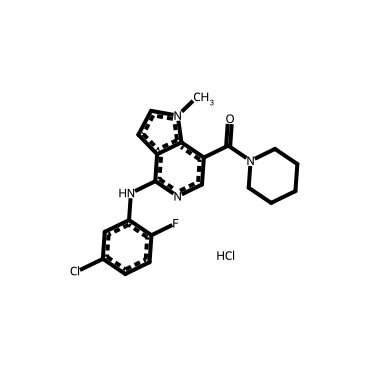 Cl.Cn1ccc2c(Nc3cc(Cl)ccc3F)ncc(C(=O)N3CCCCC3)c21